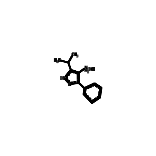 CC(C)c1[nH]nc(-c2ccccc2)c1N.Cl